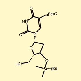 CCCCCc1cn([C@@H]2CC(O[Si](C)(C)C(C)(C)C)[C@H](CO)O2)c(=O)[nH]c1=O